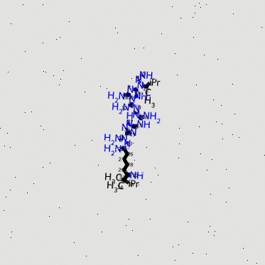 CC(C)C(C)N(N=N)C1N=C(N)N(/C(N)=N/N=C(\N)Nc2nc(N(N)/N=C(\N)CCCCC(=N)C(C)(C)C(C)C)n[nH]2)N1